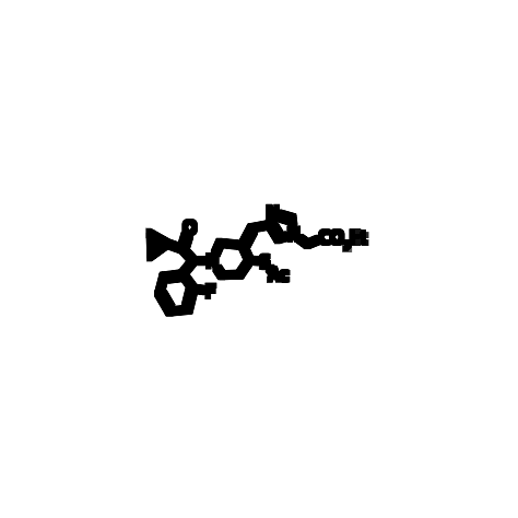 CCOC(=O)Cn1cnc(C=C2CN(C(C(=O)C3CC3)c3ccccc3F)CCC2SC(C)=O)c1